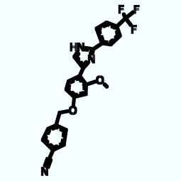 COc1cc(OCc2ccc(C#N)cc2)ccc1-c1c[nH]c(-c2ccc(C(F)(F)F)cc2)n1